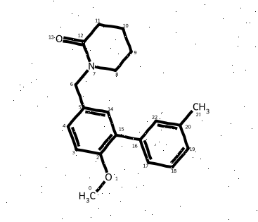 COc1ccc(CN2CCCCC2=O)cc1-c1cccc(C)c1